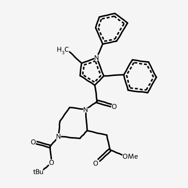 COC(=O)CC1CN(C(=O)OC(C)(C)C)CCN1C(=O)c1cc(C)n(-c2ccccc2)c1-c1ccccc1